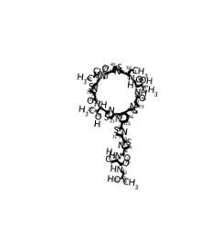 C/C=C(\NC(=O)c1csc(-c2csc(-c3ccc4c(n3)-c3csc(n3)[C@H]([C@@H](C)O)NC(=O)c3csc(n3)[C@H](C(C)C)NC(=O)c3csc(n3)/C(=C/C)NC(=O)[C@H]([C@@H](C)O)NC(=O)c3csc-4n3)n2)n1)C(=O)NC[C@@H](C)O